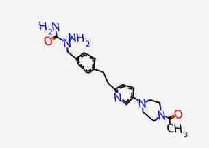 CC(=O)N1CCN(c2ccc(CCc3ccc(CN(N)C(N)=O)cc3)nc2)CC1